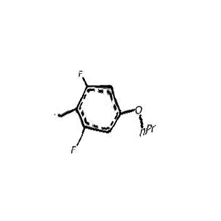 [CH2]c1c(F)cc(OCCC)cc1F